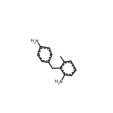 Cc1cccc(N)c1Cc1ccc(N)cc1